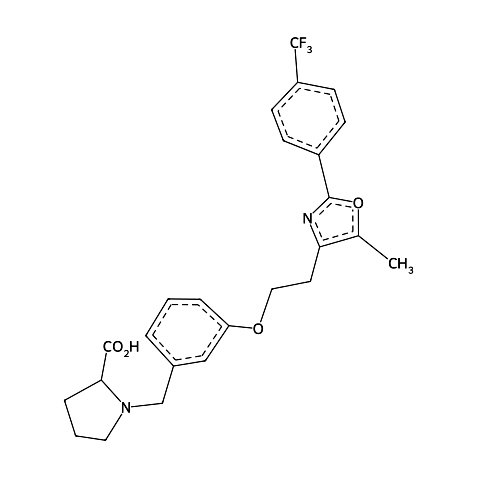 Cc1oc(-c2ccc(C(F)(F)F)cc2)nc1CCOc1cccc(CN2CCCC2C(=O)O)c1